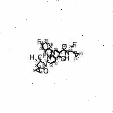 CC1CC2(CC2)C(=O)N1c1ccc2c(=O)c(C(=O)N[C@H](CF)C3CC3)cn(-c3ncc(F)cc3F)c2n1